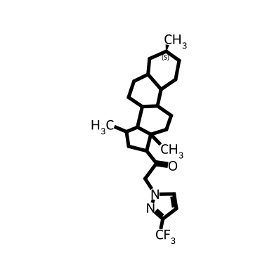 CC1CC(C(=O)Cn2ccc(C(F)(F)F)n2)C2(C)CCC3C4CC[C@H](C)CC4CCC3C12